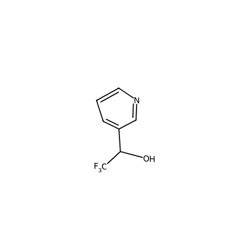 OC(c1cccnc1)C(F)(F)F